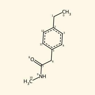 CCc1ccc(CC(=O)NC)cc1